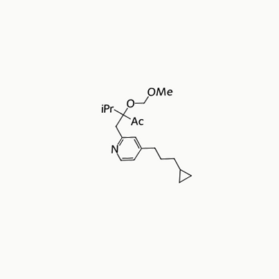 COCOC(Cc1cc(CCCC2CC2)ccn1)(C(C)=O)C(C)C